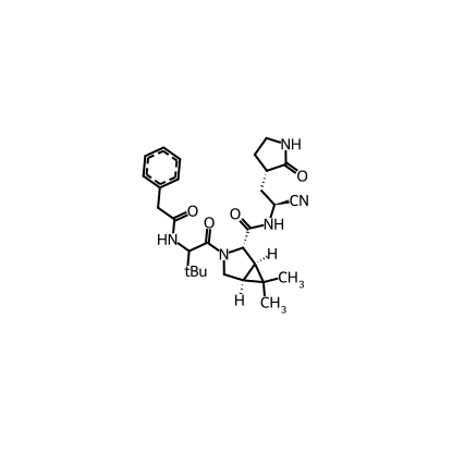 CC(C)(C)C(NC(=O)Cc1ccccc1)C(=O)N1C[C@H]2[C@@H]([C@H]1C(=O)N[C@H](C#N)C[C@@H]1CCNC1=O)C2(C)C